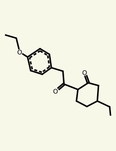 CCOc1ccc(CC(=O)C2CCC(CC)CC2=O)cc1